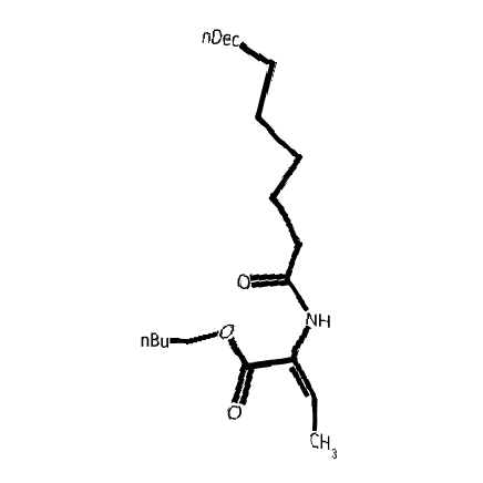 CC=C(NC(=O)CCCCCCCCCCCCCCC)C(=O)OCCCC